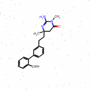 COc1ccccc1-c1cccc(CCC2(C)CC(=O)N(C)C(N)=N2)c1